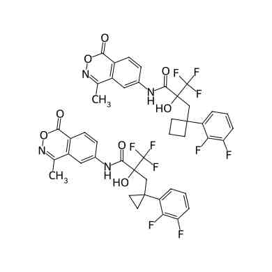 Cc1noc(=O)c2ccc(NC(=O)C(O)(CC3(c4cccc(F)c4F)CC3)C(F)(F)F)cc12.Cc1noc(=O)c2ccc(NC(=O)C(O)(CC3(c4cccc(F)c4F)CCC3)C(F)(F)F)cc12